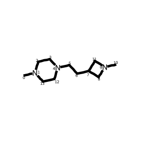 CN1CCN(CCC2CN(C)C2)CC1